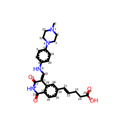 CN1CCN(c2ccc(N/C=C3\C(=O)NC(=O)c4ccc(/C=C/CCC(=O)O)cc43)cc2)CC1